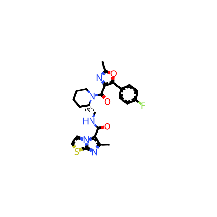 Cc1nc(C(=O)N2CCCC[C@H]2CNC(=O)c2c(C)nc3sccn23)c(-c2ccc(F)cc2)o1